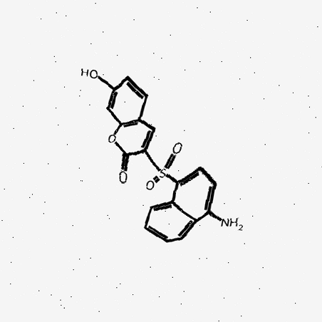 Nc1ccc(S(=O)(=O)c2cc3ccc(O)cc3oc2=O)c2ccccc12